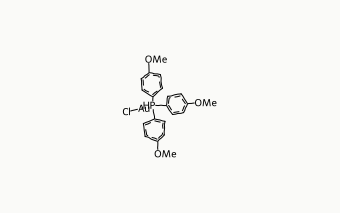 COc1ccc([PH]([Au][Cl])(c2ccc(OC)cc2)c2ccc(OC)cc2)cc1